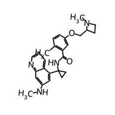 CNc1cc(C2(NC(=O)c3cc(OCC4CCN4C)ccc3C)CC2)c2cccnc2c1